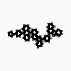 C1=CCC(c2ccc(-c3c4ccccc4c(-c4cccc5c4ccc4c6ccccc6c(-c6cccc(-c7cc8ccccc8c8c7oc7ccccc78)c6)cc54)c4ccccc34)cc2)=C1